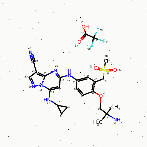 CC(C)(N)COc1ccc(Nc2cc(NC3CC3)n3ncc(C#N)c3n2)cc1CS(C)(=O)=O.O=C(O)C(F)(F)F